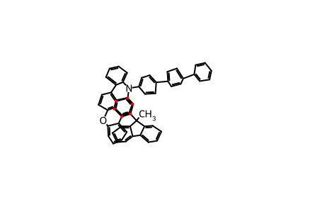 CC1(c2cccc(N(c3ccc(-c4ccc(-c5ccccc5)cc4)cc3)c3ccccc3-c3ccc4c5c(cccc35)-c3ccccc3O4)c2)c2ccccc2-c2ccccc21